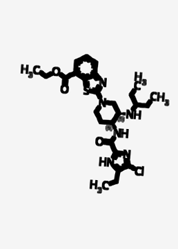 CCOC(=O)c1cccc2nc(N3CC[C@H](NC(=O)c4nc(Cl)c(CC)[nH]4)[C@@H](NC(CC)CC)C3)sc12